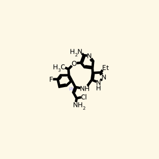 CCc1n[nH]c2c1-c1cnc(N)c(c1)OC(C)c1cc(F)ccc1/C(=C/C(N)Cl)NC2